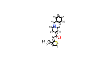 Cc1ccsc1CC(=O)C1=CCN(Cc2ccccc2)CC1